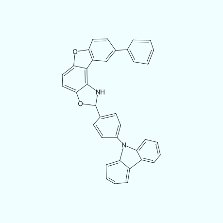 c1ccc(-c2ccc3oc4ccc5c(c4c3c2)NC(c2ccc(-n3c4ccccc4c4ccccc43)cc2)O5)cc1